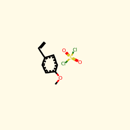 C=Cc1ccc(OC)cc1.O=S(=O)(Cl)Cl